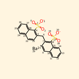 O=S(=O)([O-])c1c(Cc2ccc3ccccc3c2S(=O)(=O)[O-])ccc2ccccc12.[Ba+2]